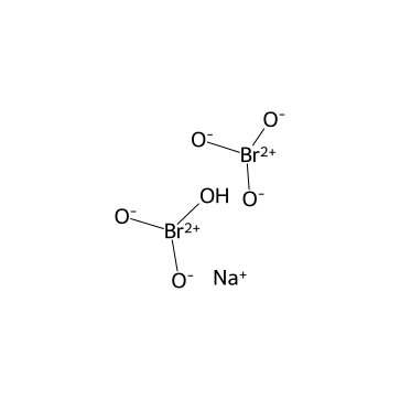 [Na+].[O-][Br+2]([O-])O.[O-][Br+2]([O-])[O-]